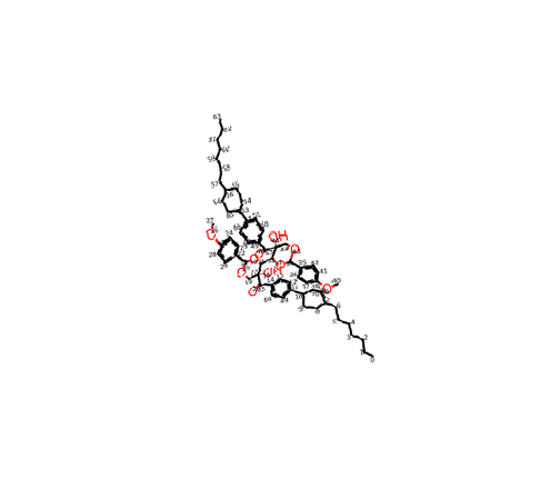 CCCCCCCC1CCC(c2ccc(C(=O)[C@@]3(O)COC(c4ccc(OC)cc4)O[C@H]3[C@@H]3OC(c4ccc(OC)cc4)OC[C@]3(O)C(=O)c3ccc(C4CCC(CCCCCCC)CC4)cc3)cc2)CC1